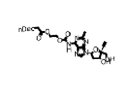 C#C[C@]1(CO)O[C@@H](n2cnc3c(NC(=O)OCCOC(=O)CCCCCCCCCCC)nc(C)nc32)C[C@@H]1O